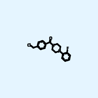 O=C(c1ccc(CCl)cc1)N1CCN(c2ccccc2F)CC1